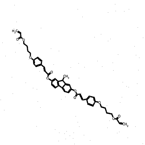 C=CC(=O)OCCCCOc1ccc(C=CC(=O)Oc2ccc3c(c2)C(C)c2cc(OC(=O)C=Cc4ccc(OCCCCOC(=O)C=C)cc4)ccc2-3)cc1